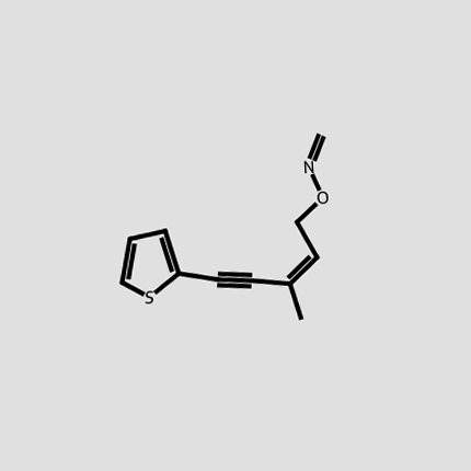 C=NOC/C=C(/C)C#Cc1cccs1